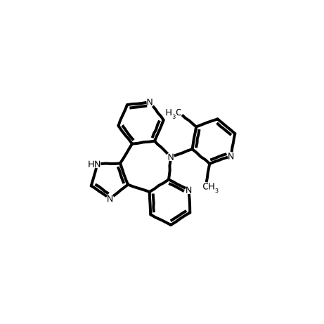 Cc1ccnc(C)c1N1c2cnccc2-c2[nH]cnc2-c2cccnc21